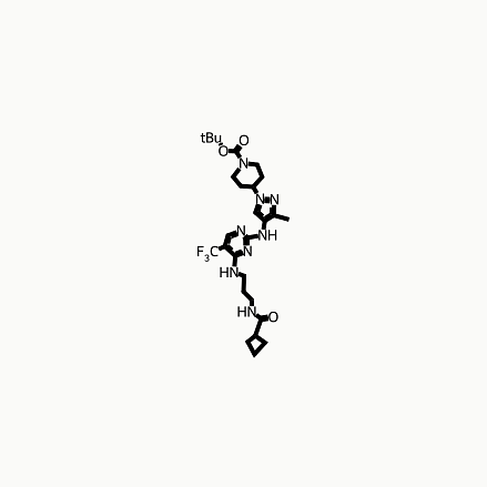 Cc1nn(C2CCN(C(=O)OC(C)(C)C)CC2)cc1Nc1ncc(C(F)(F)F)c(NCCCNC(=O)C2CCC2)n1